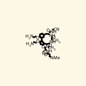 CNCCC(=O)N[C@@H](CN)C(=O)N(C)[C@@H]1C(=O)N[C@@H](C)C(=O)N[C@H](C(=O)NCC#N)Cc2ccc(OCCN)c(c2)-c2cc1ccc2OCCN